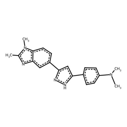 Cc1nc2cc(-c3cc(-c4ccc(N(C)C)cc4)[nH]n3)ccc2n1C